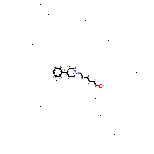 [O]CCCCCCN1CCC(c2ccccc2)CC1